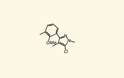 COc1c(C)cccc1-c1nn(C)c(Cl)c1C